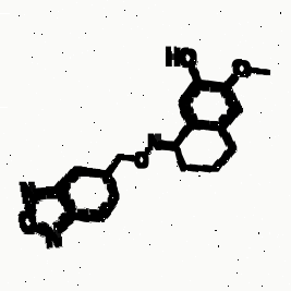 COc1cc2c(cc1O)C(=NOCc1ccc3nonc3c1)CCC2